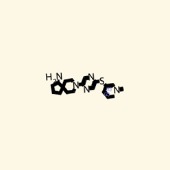 C=N/C=C(\C=C/C)Sc1cnc(N2CCC3(CCC[C@H]3N)CC2)cn1